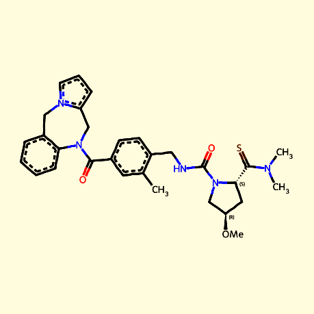 CO[C@@H]1C[C@@H](C(=S)N(C)C)N(C(=O)NCc2ccc(C(=O)N3Cc4cccn4Cc4ccccc43)cc2C)C1